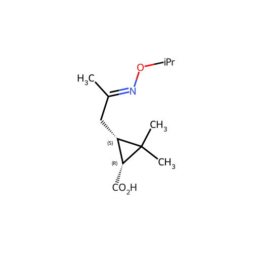 CC(C[C@H]1[C@@H](C(=O)O)C1(C)C)=NOC(C)C